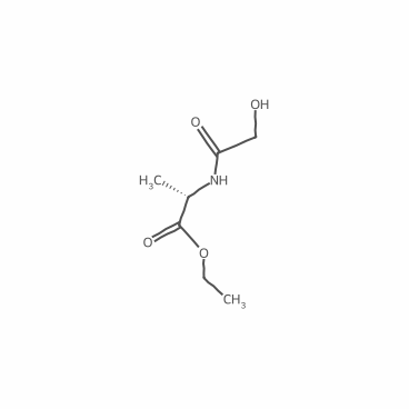 CCOC(=O)[C@H](C)NC(=O)CO